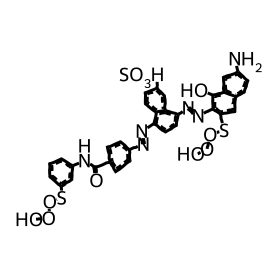 Nc1ccc2cc(SOOO)c(N=Nc3ccc(N=Nc4ccc(C(=O)Nc5cccc(SOOO)c5)cc4)c4ccc(S(=O)(=O)O)cc34)c(O)c2c1